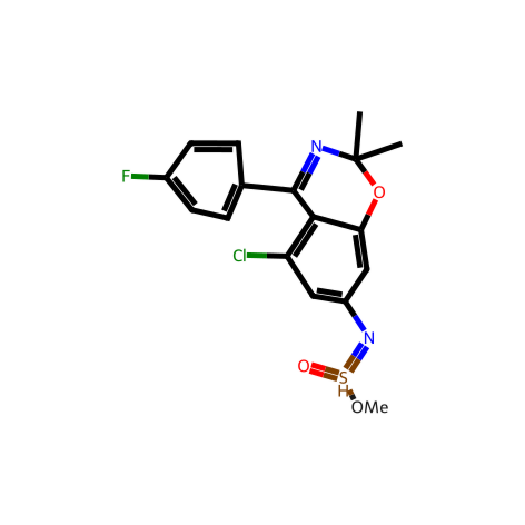 CO[SH](=O)=Nc1cc(Cl)c2c(c1)OC(C)(C)N=C2c1ccc(F)cc1